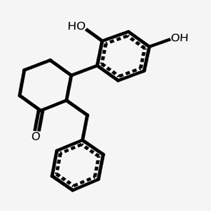 O=C1CCCC(c2ccc(O)cc2O)C1Cc1ccccc1